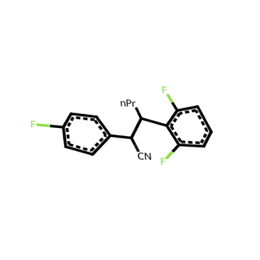 CCCC(c1c(F)cccc1F)C(C#N)c1ccc(F)cc1